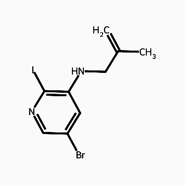 C=C(C)CNc1cc(Br)cnc1I